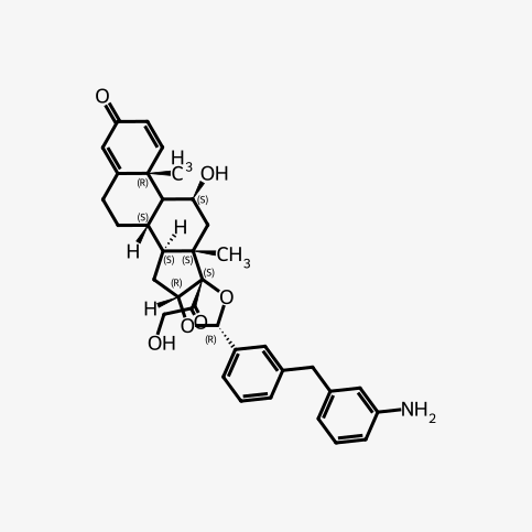 C[C@]12C=CC(=O)C=C1CC[C@@H]1C2[C@@H](O)C[C@@]2(C)[C@H]1C[C@H]1O[C@@H](c3cccc(Cc4cccc(N)c4)c3)O[C@]12C(=O)CO